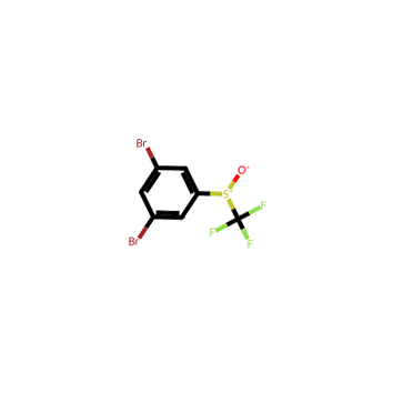 [O-][S+](c1[c]c(Br)cc(Br)c1)C(F)(F)F